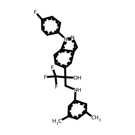 Cc1cc(C)cc(NCC(O)(c2ccc3c(cnn3-c3ccc(F)cc3)c2)C(F)(F)F)c1